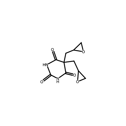 O=C1NC(=O)C(CC2CO2)(CC2CO2)C(=O)N1